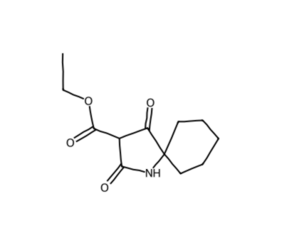 CCOC(=O)C1C(=O)NC2(CCCCC2)C1=O